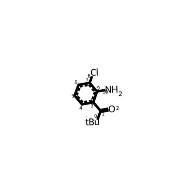 CC(C)(C)C(=O)c1cccc(Cl)c1N